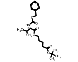 CC(C)[C@H](NC(=O)OCc1ccccc1)C(=O)OCCCCC(=O)OC(C)(C)C